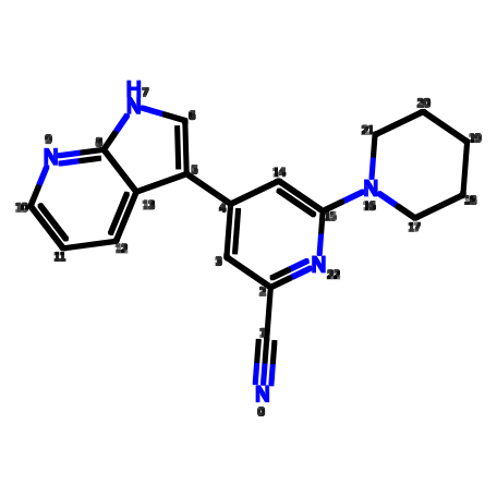 N#Cc1cc(-c2c[nH]c3ncccc23)cc(N2CCCCC2)n1